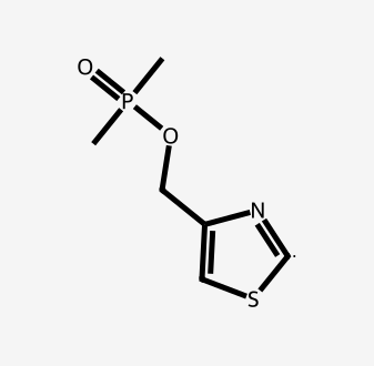 CP(C)(=O)OCc1cs[c]n1